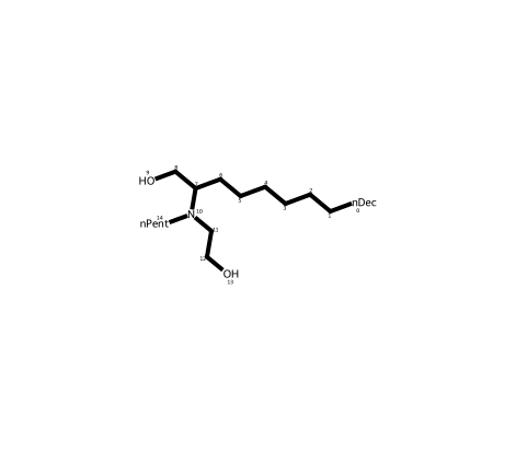 CCCCCCCCCCCCCCCCC(CO)N(CCO)CCCCC